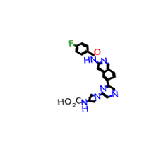 O=C(O)NC1CN(c2cncc(-c3ccc4cnc(NC(=O)c5ccc(F)cc5)cc4c3)n2)C1